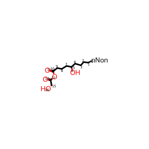 CCCCCCCCCCCCCC(O)CCCC(=O)OC(=O)CO